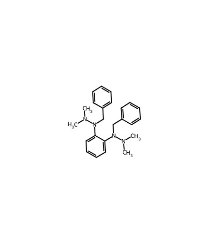 CN(C)N(Cc1ccccc1)c1ccccc1N(Cc1ccccc1)N(C)C